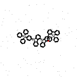 c1ccc([Si](c2ccccc2)(c2ccccc2)c2ccc(-n3c4ccccc4c4c(-n5c6ccccc6c6ccc(-c7cccc8c7[Si](c7ccccc7)(c7ccccc7)c7ccccc7-8)cc65)cccc43)cc2)cc1